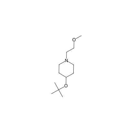 COCCN1CCC(OC(C)(C)C)CC1